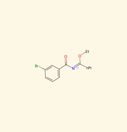 CCC/C(=N/C(=O)c1cccc(Br)c1)OCC